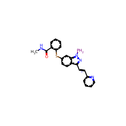 CNC(=O)c1ccccc1Sc1ccc2c(/C=C/c3ccccn3)nn(P)c2c1